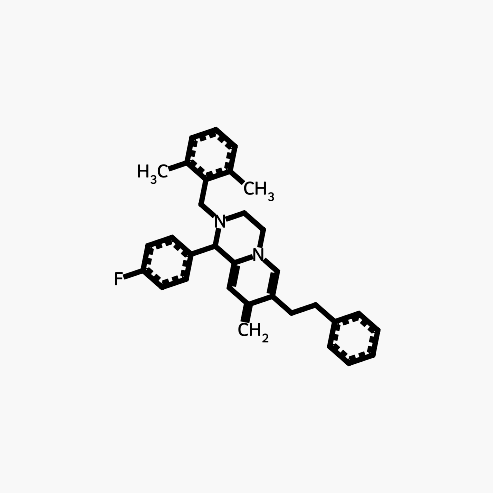 C=C1C=C2C(c3ccc(F)cc3)N(Cc3c(C)cccc3C)CCN2C=C1CCc1ccccc1